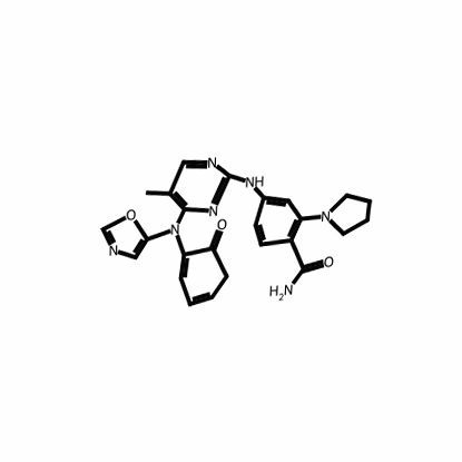 Cc1cnc(Nc2ccc(C(N)=O)c(N3CCCC3)c2)nc1N(C1=CC=CCC1=O)c1cnco1